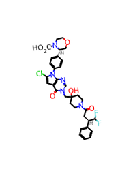 O=C(C[C@H](c1ccccc1)C(F)F)N1CCC(O)(Cn2cnc3c(cc(Cl)n3-c3ccc([C@H]4COCCN4C(=O)O)cc3)c2=O)CC1